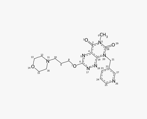 Cn1c(=O)c2nc(OCCCN3CCOCC3)nnc2n(Cc2cccnc2)c1=O